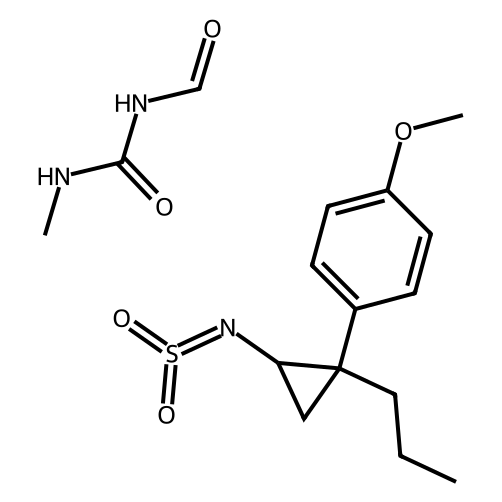 CCCC1(c2ccc(OC)cc2)CC1N=S(=O)=O.CNC(=O)NC=O